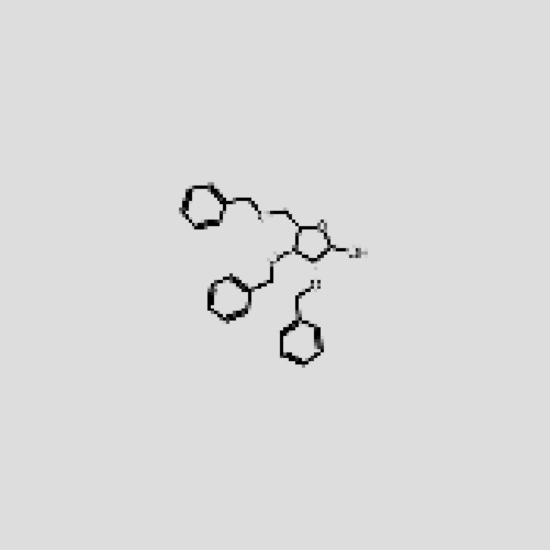 OC1O[C@H](COCc2ccccc2)[C@H](OCc2ccccc2)[C@H]1OCc1ccccc1